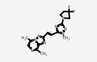 Cc1ncc(C)n2nc(/C=C/c3nc(N4CCC(F)(F)C4)nn3C)nc12